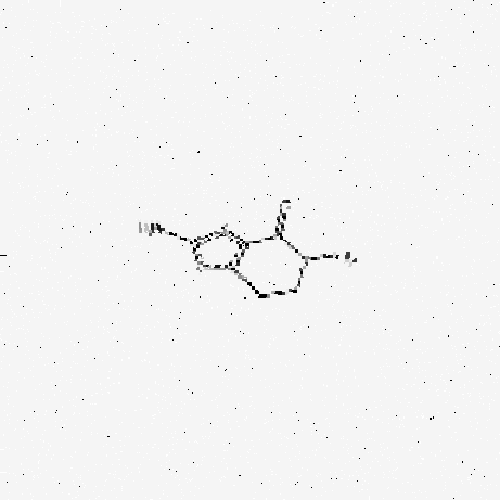 Nc1nc2c(s1)C(=O)N(N)CC2